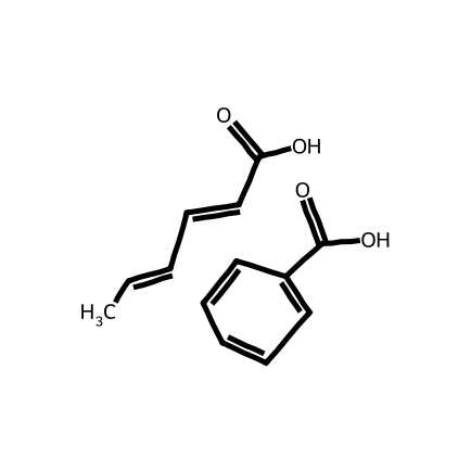 CC=CC=CC(=O)O.O=C(O)c1ccccc1